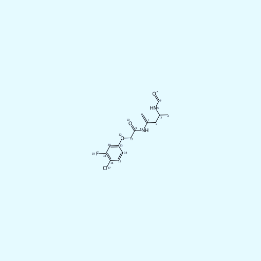 C=C(CC(C)NC=O)NC(=O)COc1ccc(Cl)c(F)c1